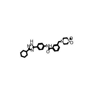 O=C(Nc1ccc(-c2nc(C3CCCCC3)n[nH]2)cc1)c1cccc(CN2CCS(=O)(=O)CC2)c1